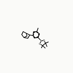 Cc1cc(B2OC(C)(C)C(C)(C)O2)cc(C2CC3CCC2C3)c1